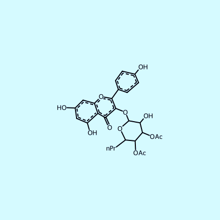 CCCC1OC(Oc2c(-c3ccc(O)cc3)oc3cc(O)cc(O)c3c2=O)C(O)C(OC(C)=O)C1OC(C)=O